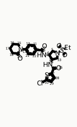 CCS(=O)(=O)N1C[C@@H](NC(=O)c2ccc(N3CCCCC3=O)cc2)[C@H](NC(=O)c2ccc(Cl)s2)C1